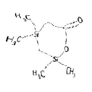 C[Si]1(C)CC(=O)O[Si](C)(C)C1